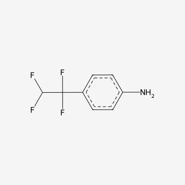 Nc1ccc(C(F)(F)C(F)F)cc1